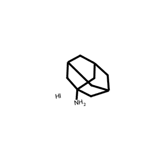 I.NC12CC3CC(CC(C3)C1)C2